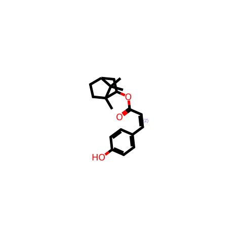 CC1(C)C2CCC1(C)C(OC(=O)/C=C\c1ccc(O)cc1)C2